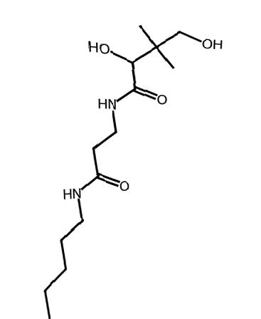 CCCCCNC(=O)CCNC(=O)C(O)C(C)(C)CO